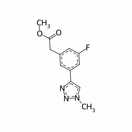 COC(=O)Cc1cc(F)cc(-c2cn(C)nn2)c1